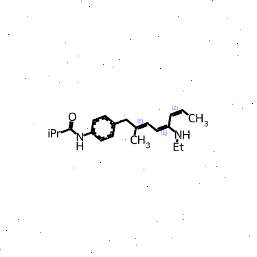 C\C=C/C(=C\C=C(/C)Cc1ccc(NC(=O)C(C)C)cc1)NCC